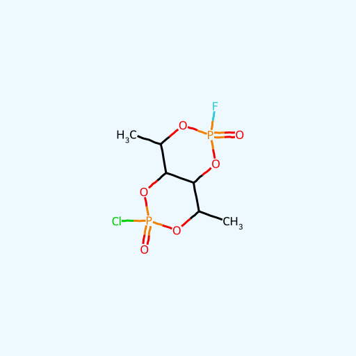 CC1OP(=O)(Cl)OC2C(C)OP(=O)(F)OC12